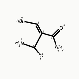 CCCCC=C(C(N)=O)C(N)CC